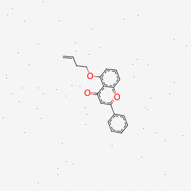 C=CCCOc1cccc2oc(-c3ccccc3)cc(=O)c12